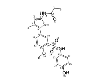 CCC(=O)Nc1nc(C)c(-c2ccc(OC)c(S(=O)(=O)Nc3ccc(O)cc3)c2)s1